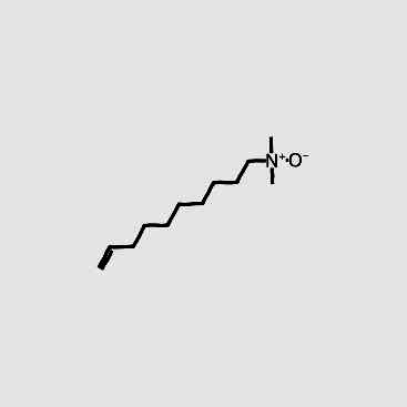 C=CCCCCCCCC[N+](C)(C)[O-]